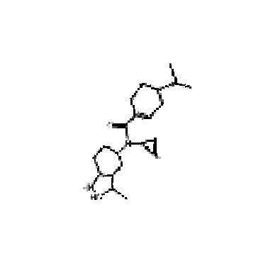 CC(C)C1CC=C(C(=O)N(C2CC2)C2CCC3NNC(C)C3C2)CC1